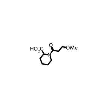 COCCC(=O)N1CCCCC1C(=O)O